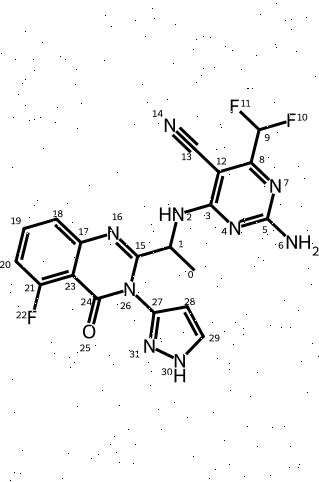 CC(Nc1nc(N)nc(C(F)F)c1C#N)c1nc2cccc(F)c2c(=O)n1-c1cc[nH]n1